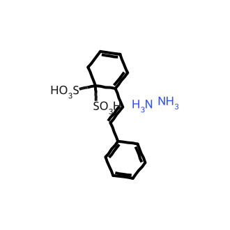 N.N.O=S(=O)(O)C1(S(=O)(=O)O)CC=CC=C1C=Cc1ccccc1